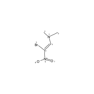 CN(C)C=C(Br)[N+](=O)[O-]